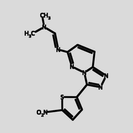 CN(C)C=Nc1ccc2nnc(-c3ccc([N+](=O)[O-])s3)n2n1